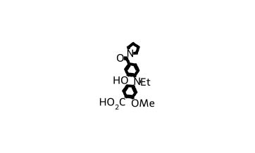 CCN(c1ccc(C(=O)O)c(OC)c1)c1ccc(C(=O)N2CCCC2)cc1O